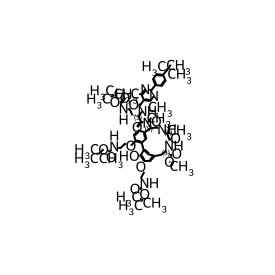 COC(=O)[C@@H]1Cc2cc(OCCNC(=O)OC(C)(C)C)c(O)c(c2)-c2cc(ccc2OCCNC(=O)OC(C)(C)C)[C@H](N(C)C(=O)[C@H](CCNC(=O)OC(C)(C)C)NC(=O)c2c(C)nc(-c3ccc(C(C)(C)C)cc3)nc2C)C(=O)N[C@@H](C)C(=O)N1